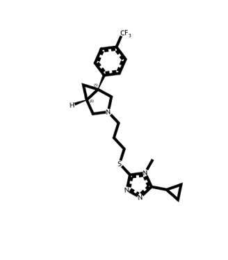 Cn1c(SCCCN2C[C@@H]3C[C@]3(c3ccc(C(F)(F)F)cc3)C2)nnc1C1CC1